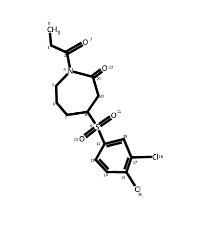 CCC(=O)N1CCCC(S(=O)(=O)c2ccc(Cl)c(Cl)c2)CC1=O